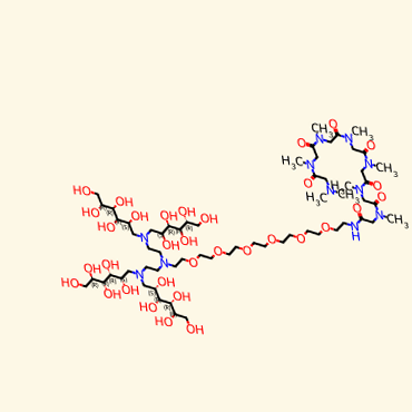 CN(C)CC(=O)N(C)CC(=O)N(C)CC(=O)N(C)CC(=O)N(C)CC(=O)N(C)CC(=O)N(C)CC(=O)NCCOCCOCCOCCOCCOCCOCCN(CCN(C[C@H](O)[C@@H](O)[C@H](O)[C@H](O)CO)C[C@H](O)[C@@H](O)[C@H](O)[C@H](O)CO)CCN(C[C@H](O)[C@@H](O)[C@H](O)[C@H](O)CO)C[C@H](O)[C@@H](O)[C@H](O)[C@H](O)CO